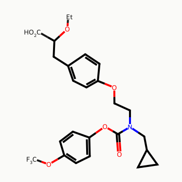 CCOC(Cc1ccc(OCCN(CC2CC2)C(=O)Oc2ccc(OC(F)(F)F)cc2)cc1)C(=O)O